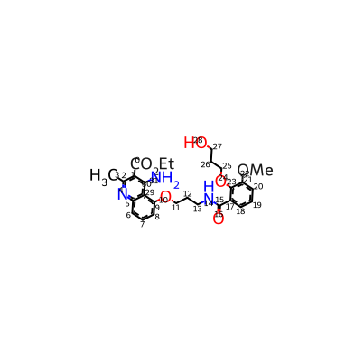 CCOC(=O)c1c(C)nc2cccc(OCCCNC(=O)c3cccc(OC)c3OCCCO)c2c1N